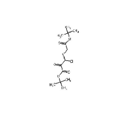 CC(C)(C)OC(=O)CSC(Cl)C(=O)C(=O)OC(C)(C)C